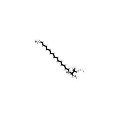 CCCCCCCCCCCCCCCCNC(C)C(=O)OC